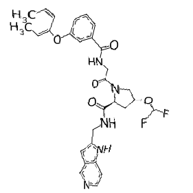 C/C=C\C(=C/C)Oc1cccc(C(=O)NCC(=O)N2C[C@H](OC(F)F)C[C@H]2C(=O)NCc2cc3cnccc3[nH]2)c1